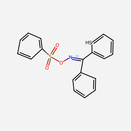 O=S(=O)(O/N=C(\c1ccccc1)c1cccc[siH]1)c1ccccc1